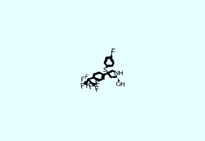 OC[C@@H]1CC(Sc2ccc(F)cc2)(c2ccc(C(F)(C(F)(F)F)C(F)(F)F)cc2)CN1